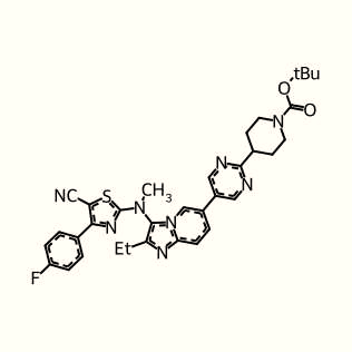 CCc1nc2ccc(-c3cnc(C4CCN(C(=O)OC(C)(C)C)CC4)nc3)cn2c1N(C)c1nc(-c2ccc(F)cc2)c(C#N)s1